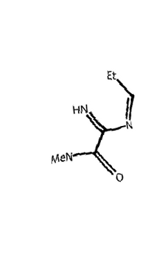 CC/C=N\C(=N)C(=O)NC